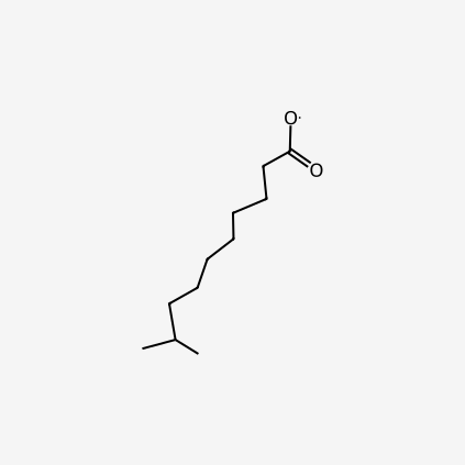 CC(C)CCCCCCCC([O])=O